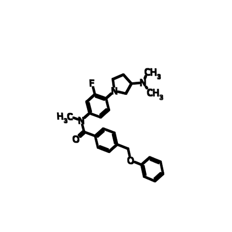 CN(C(=O)c1ccc(COc2ccccc2)cc1)c1ccc(N2CCC(N(C)C)C2)c(F)c1